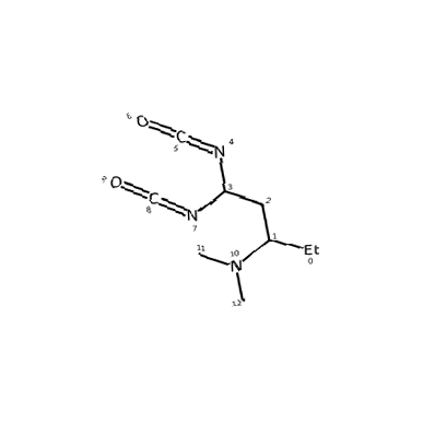 CCC(CC(N=C=O)N=C=O)N(C)C